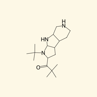 CC(C)(C)C(=O)C1CC2C3CCNCC3NC2N1C(C)(C)C